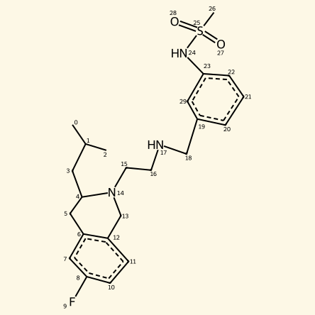 CC(C)CC1Cc2cc(F)ccc2CN1CCNCc1cccc(NS(C)(=O)=O)c1